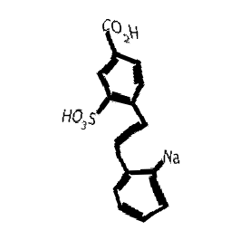 O=C(O)c1ccc(C=Cc2cccc[c]2[Na])c(S(=O)(=O)O)c1